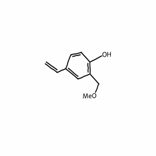 C=Cc1ccc(O)c(COC)c1